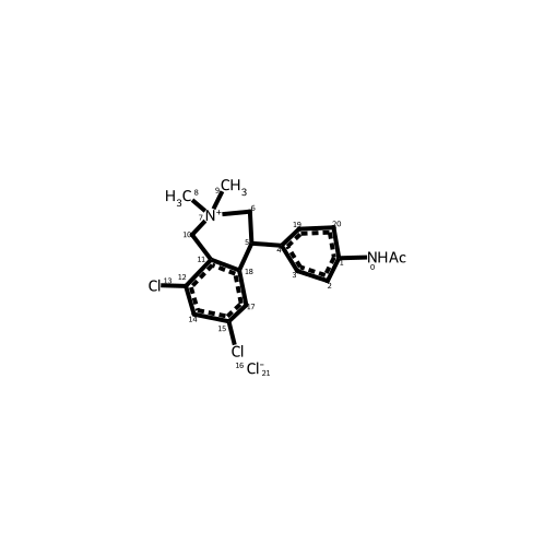 CC(=O)Nc1ccc(C2C[N+](C)(C)Cc3c(Cl)cc(Cl)cc32)cc1.[Cl-]